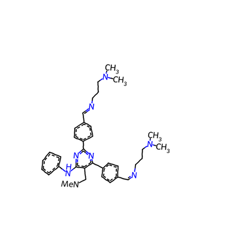 CNCc1c(Nc2ccccc2)nc(-c2ccc(/C=N/CCCN(C)C)cc2)nc1-c1ccc(/C=N\CCCN(C)C)cc1